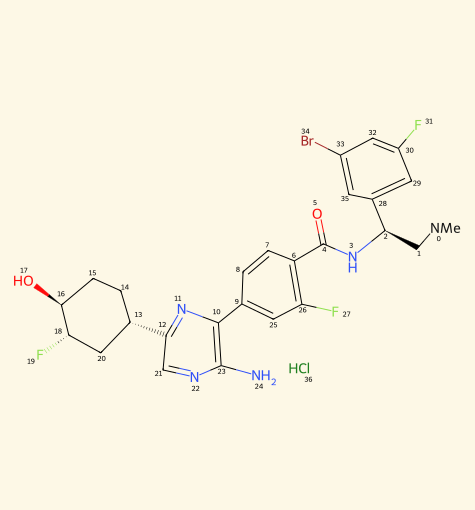 CNC[C@@H](NC(=O)c1ccc(-c2nc([C@H]3CC[C@H](O)[C@@H](F)C3)cnc2N)cc1F)c1cc(F)cc(Br)c1.Cl